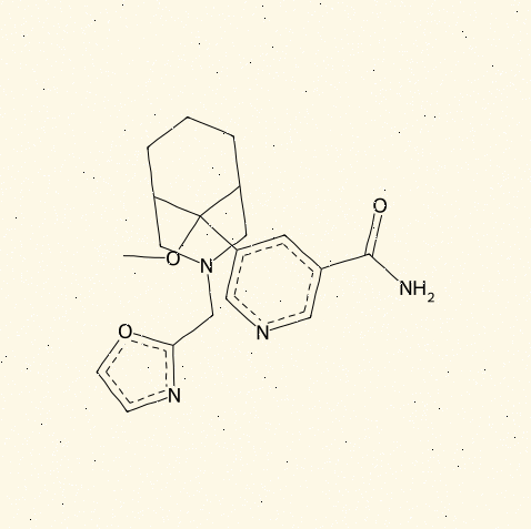 COC1(c2cncc(C(N)=O)c2)C2CCCC1CN(Cc1ncco1)C2